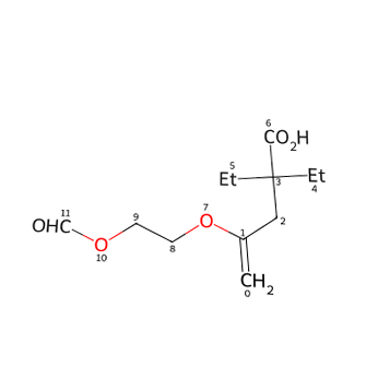 C=C(CC(CC)(CC)C(=O)O)OCCOC=O